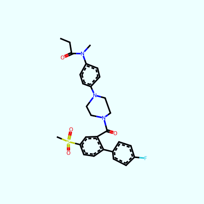 CCC(=O)N(C)c1ccc(N2CCN(C(=O)c3cc(S(C)(=O)=O)ccc3-c3ccc(F)cc3)CC2)cc1